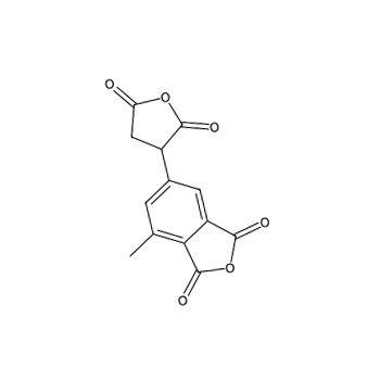 Cc1cc(C2CC(=O)OC2=O)cc2c1C(=O)OC2=O